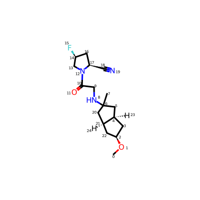 CO[C@@H]1C[C@@H]2CC(C)(NCC(=O)N3C[C@@H](F)C[C@H]3C#N)C[C@@H]2C1